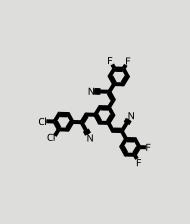 N#C/C(=C\c1cc(/C=C(\C#N)c2ccc(F)c(F)c2)cc(/C=C(\C#N)c2ccc(Cl)c(Cl)c2)c1)c1ccc(F)c(F)c1